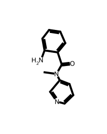 CN(C(=O)c1ccccc1N)c1cccnc1